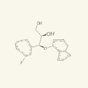 OC[C@@H](O)[C@@H](Oc1cccc2sccc12)c1cccc(F)c1